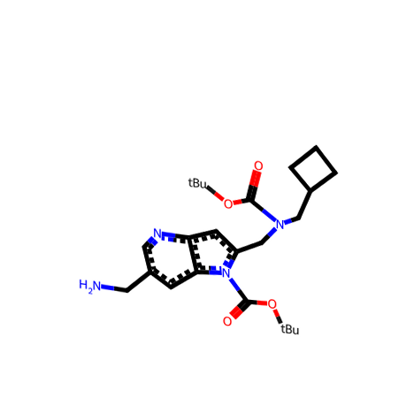 CC(C)(C)OC(=O)N(Cc1cc2ncc(CN)cc2n1C(=O)OC(C)(C)C)CC1CCC1